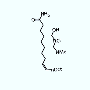 CCCCCCCC/C=C\CCCCCCCC(N)=O.CNCCCO.Cl